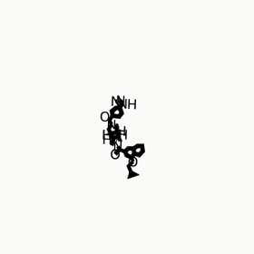 O=C(c1cc(OCC2CC2)c2ccccc2c1)N1C[C@@H]2[C@H](C1)[C@H]1CN(C(=O)c3ccc4[nH]nnc4c3)C[C@@H]21